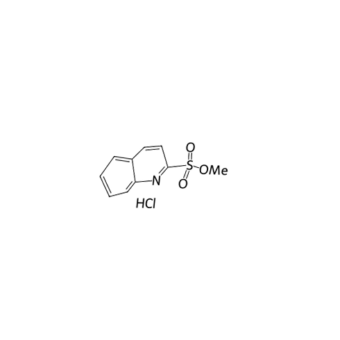 COS(=O)(=O)c1ccc2ccccc2n1.Cl